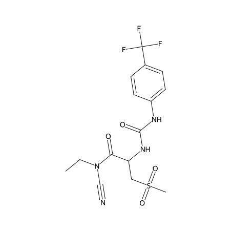 CCN(C#N)C(=O)C(CS(C)(=O)=O)NC(=O)Nc1ccc(C(F)(F)F)cc1